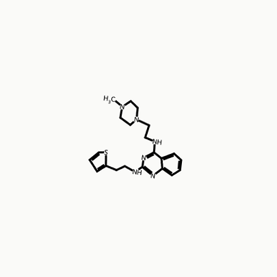 CN1CCN(CCNc2nc(NCCc3cccs3)nc3ccccc23)CC1